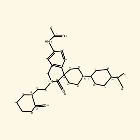 CC(=O)Nc1ccc2c(c1)CN(CCN1CCCCC1=O)C(=O)C21CCN(C2CCC(C(C)C)CC2)CC1